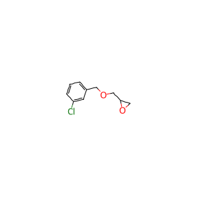 Clc1cccc(COCC2CO2)c1